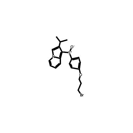 CC(C)c1cn2ccccc2c1[S+]([O-])c1ccc(OCCCBr)cc1